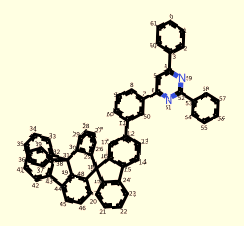 c1ccc(-c2cc(-c3cccc(-c4ccc5c(c4)C4(c6ccccc6-5)c5ccccc5C5(c6ccccc6)c6ccccc6-c6cccc4c65)c3)nc(-c3ccccc3)n2)cc1